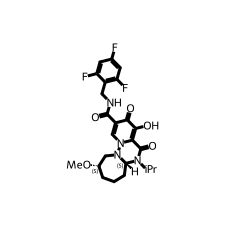 CO[C@H]1CCC[C@H]2N(C(C)C)C(=O)c3c(O)c(=O)c(C(=O)NCc4c(F)cc(F)cc4F)cn3N2C1